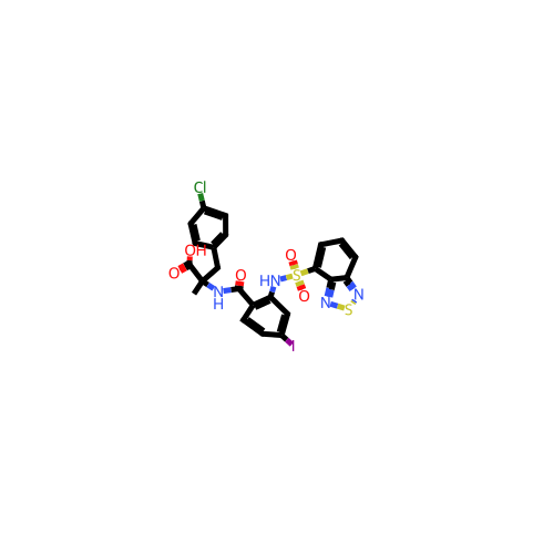 CC(Cc1ccc(Cl)cc1)(NC(=O)c1ccc(I)cc1NS(=O)(=O)c1cccc2nsnc12)C(=O)O